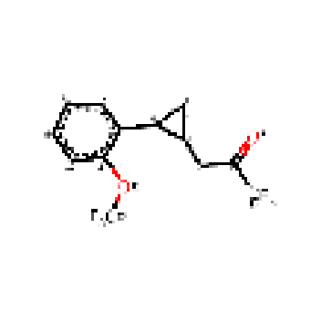 O=C(CC1CC1c1ccccc1OC(F)(F)F)C(F)(F)F